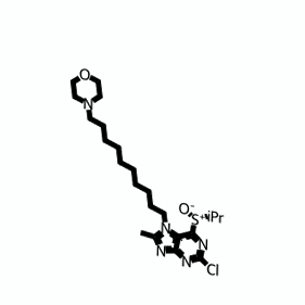 Cc1nc2nc(Cl)nc([S+]([O-])C(C)C)c2n1CCCCCCCCCCN1CCOCC1